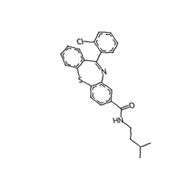 CC(C)CCNC(=O)c1ccc2c(c1)N=C(c1ccccc1Cl)c1ccccc1S2